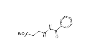 CCOC(=O)CCNNC(=O)c1ccccc1